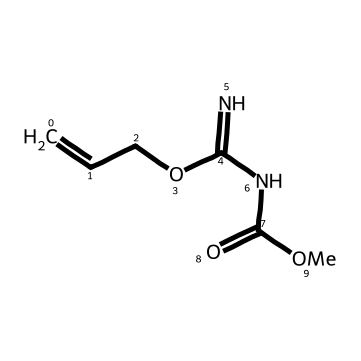 C=CCOC(=N)NC(=O)OC